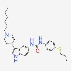 CCCCCCN1C=CC(c2c[nH]c3ccc(NC(=O)Nc4ccc(SCCC)cc4)cc23)CC1